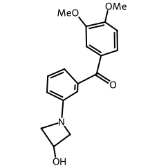 COc1ccc(C(=O)c2cccc(N3CC(O)C3)c2)cc1OC